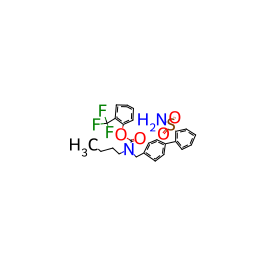 CCCCN(Cc1ccc(-c2ccccc2S(N)(=O)=O)cc1)C(=O)Oc1ccccc1C(F)(F)F